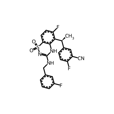 C[C@@H](c1ccc(F)c(C#N)c1)c1c(F)ccc2c1NC(NCc1cccc(F)c1)=NS2(=O)=O